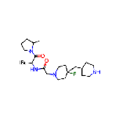 CC1CCCN1C(=O)C(NC(=O)CN1CCC(F)(CC2CCNCC2)CC1)C(C)(C)C